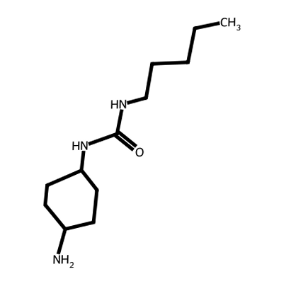 CCCCCNC(=O)NC1CCC(N)CC1